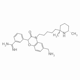 C[C@H]1CCC[C@@](C)(CCCCCN2C(=O)C(c3cccc(C(=N)N)c3)Oc3ccc(CN)cc32)N1